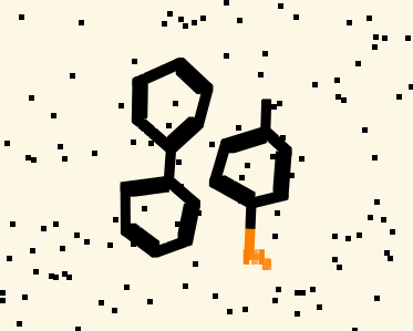 Cc1ccc(P)cc1.c1ccc(-c2ccccc2)cc1